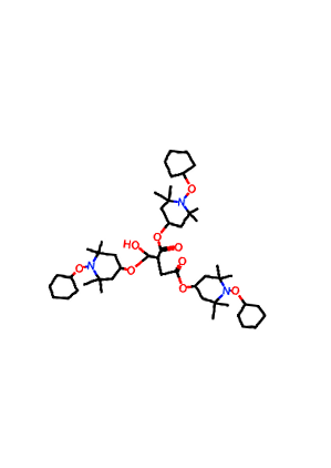 CC1(C)CC(OC(=O)CC(C(=O)OC2CC(C)(C)N(OC3CCCCC3)C(C)(C)C2)C(O)OC2CC(C)(C)N(OC3CCCCC3)C(C)(C)C2)CC(C)(C)N1OC1CCCCC1